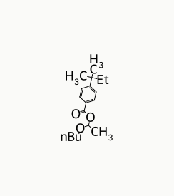 CCCCOC(C)OC(=O)c1ccc(C(C)(C)CC)cc1